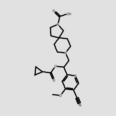 COc1cc(C(CN2CCC3(CC2)CCN(C(=O)O)C3)OC(=O)C2CC2)ncc1C#N